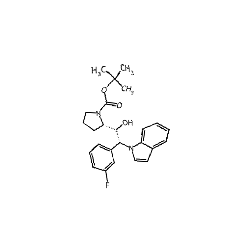 CC(C)(C)OC(=O)N1CCC[C@H]1C(O)[C@@H](c1cccc(F)c1)n1ccc2ccccc21